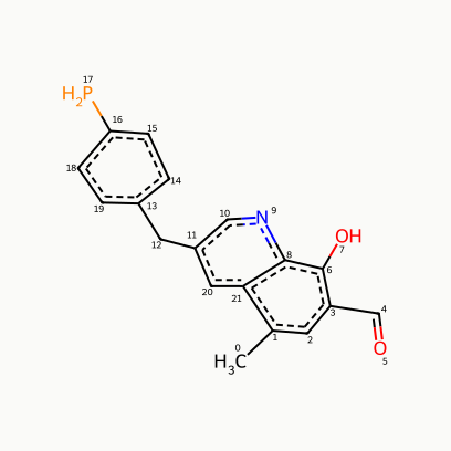 Cc1cc(C=O)c(O)c2ncc(Cc3ccc(P)cc3)cc12